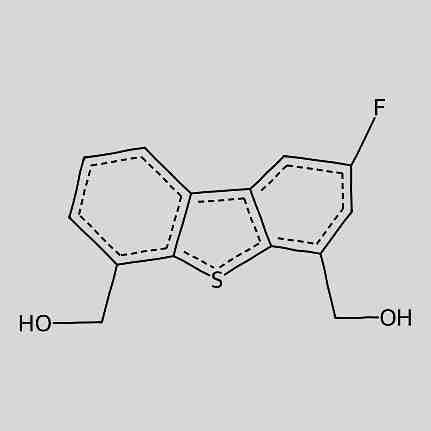 OCc1cccc2c1sc1c(CO)cc(F)cc12